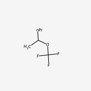 CCCC(C)OC(F)(F)F